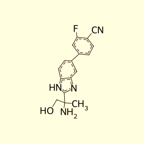 CC(N)(CO)c1nc2cc(-c3ccc(C#N)c(F)c3)ccc2[nH]1